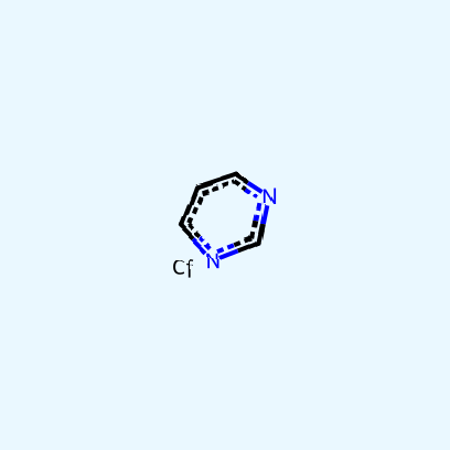 [Cf].c1cncnc1